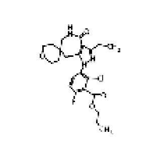 CCCOC(=O)c1c(F)ccc(-n2nc(CC)c3c2CC2(CCOCC2)CNC3=O)c1Cl